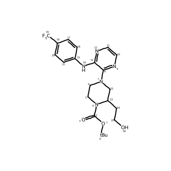 CC(C)(C)OC(=O)N1CCN(c2nccnc2Nc2ccc(C(F)(F)F)cc2)CC1CCO